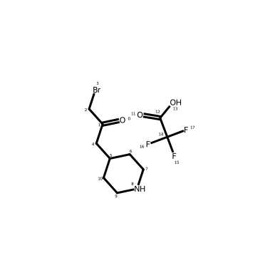 O=C(CBr)CC1CCNCC1.O=C(O)C(F)(F)F